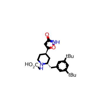 CC(=O)O.CC(C)(C)c1cc(C[C@H]2C[C@H](c3cc(=O)[nH]o3)CCN2)cc(C(C)(C)C)c1